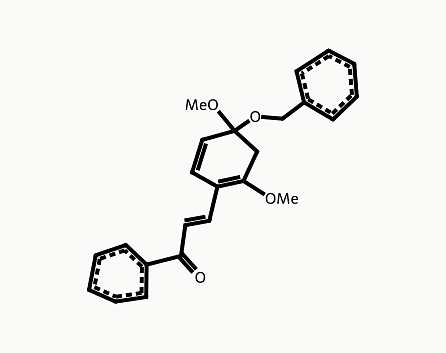 COC1=C(C=CC(=O)c2ccccc2)C=CC(OC)(OCc2ccccc2)C1